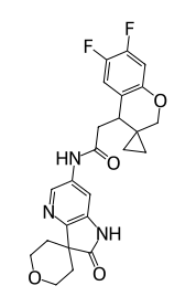 O=C(CC1c2cc(F)c(F)cc2OCC12CC2)Nc1cnc2c(c1)NC(=O)C21CCOCC1